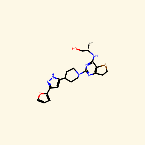 CC(C)[C@H](CO)Nc1nc(N2CCC(c3cc(-c4ccco4)n[nH]3)CC2)nc2c1SCC2